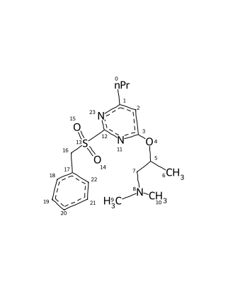 CCCc1cc(OC(C)CN(C)C)nc(S(=O)(=O)Cc2ccccc2)n1